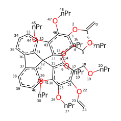 C=COc1c(COCCC)c(OCCC)c(C2(c3c(OCCC)c(COCCC)c(OC=C)c(OCCC)c3OCCC)c3ccccc3-c3ccccc32)c(OCCC)c1OCCC